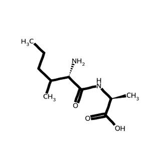 CCCC(C)[C@H](N)C(=O)N[C@@H](C)C(=O)O